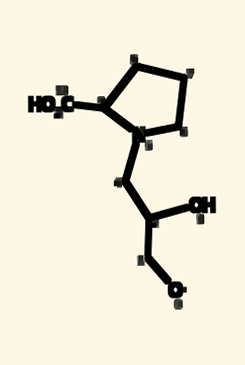 [O]CC(O)CN1CCCC1C(=O)O